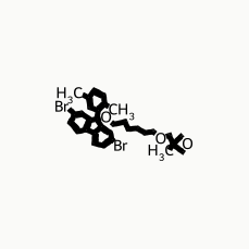 Cc1ccc(C)c(C2(OCCCCCCOCC3(C)COC3)c3cc(Br)ccc3-c3ccc(Br)cc32)c1